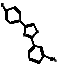 Cc1cccc(-c2nc(-c3ccc(F)cc3)cs2)c1